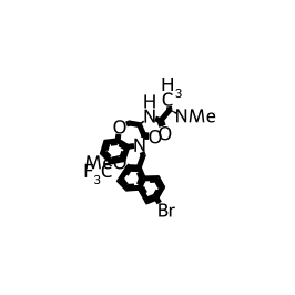 CN[C@@H](C)C(=O)N[C@H]1COc2ccc(C(F)(F)F)cc2N(Cc2c(OC)ccc3cc(Br)ccc23)C1=O